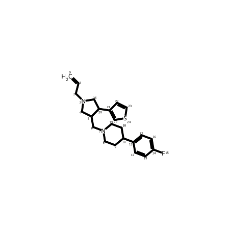 C=CCN1CC(CN2CCC(c3ccc(F)cc3)CC2)C(c2ccsc2)C1